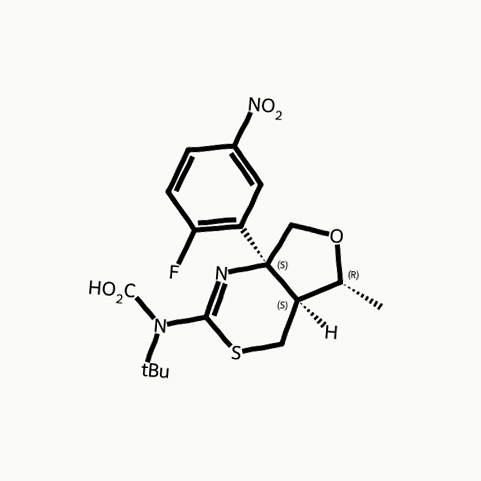 C[C@H]1OC[C@]2(c3cc([N+](=O)[O-])ccc3F)N=C(N(C(=O)O)C(C)(C)C)SC[C@H]12